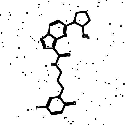 CC1CCCN1c1ccn2ncc(C(=O)NCCCn3cc(F)ccc3=O)c2n1